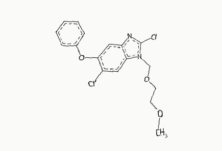 COCCOCn1c(Cl)nc2cc(Oc3ccccc3)c(Cl)cc21